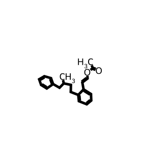 CC(=O)OC=Cc1ccccc1CCC(C)Cc1ccccc1